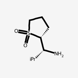 CC(C)[C@@H](N)[C@H]1CCCS1(=O)=O